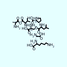 CC(C)C[C@H](N)C(=O)OC[C@H](N)C(=O)O.CC(C)[C@H](N)C(=O)OC(=O)[C@H](C)N.C[C@H](N)C(=O)O.NCCCC[C@H](N)C(=O)O.O=C(O)[C@@H]1CCCN1